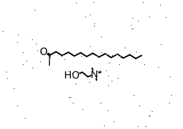 CCCCCCCCCCCCCCCC(=O)I.C[N+](C)(C)CCO